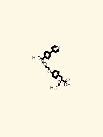 CCOC(Cc1ccc(OCCO/N=C(/C)c2ccc(-c3ccncc3)cc2)cc1)C(=O)O